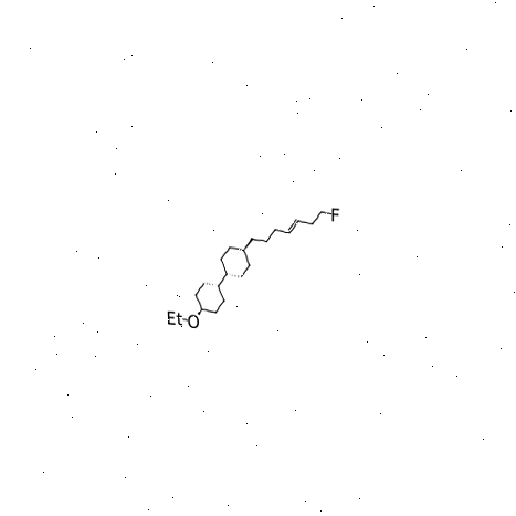 CCO[C@H]1CC[C@H]([C@H]2CC[C@H](CCCC=CCCF)CC2)CC1